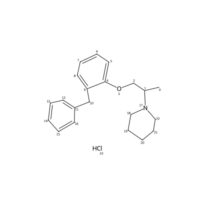 CC(COc1ccccc1Cc1ccccc1)N1CCCCC1.Cl